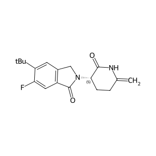 C=C1CC[C@H](N2Cc3cc(C(C)(C)C)c(F)cc3C2=O)C(=O)N1